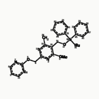 COc1nc(COc2ncccn2)nc(C)c1CO[Si](c1ccccc1)(c1ccccc1)C(C)(C)C